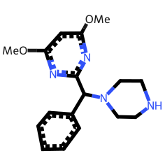 COc1cc(OC)nc(C(c2ccccc2)N2CCNCC2)n1